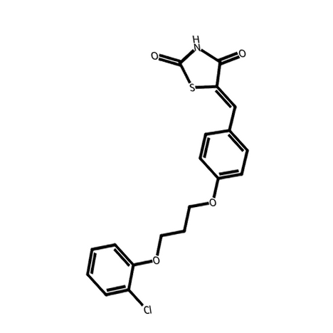 O=C1NC(=O)/C(=C/c2ccc(OCCCOc3ccccc3Cl)cc2)S1